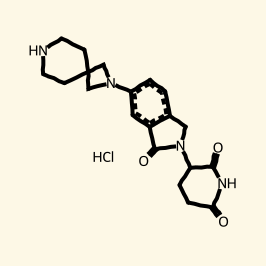 Cl.O=C1CCC(N2Cc3ccc(N4CC5(CCNCC5)C4)cc3C2=O)C(=O)N1